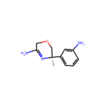 C[C@@]1(c2cccc(N)c2)COCC(N)=N1